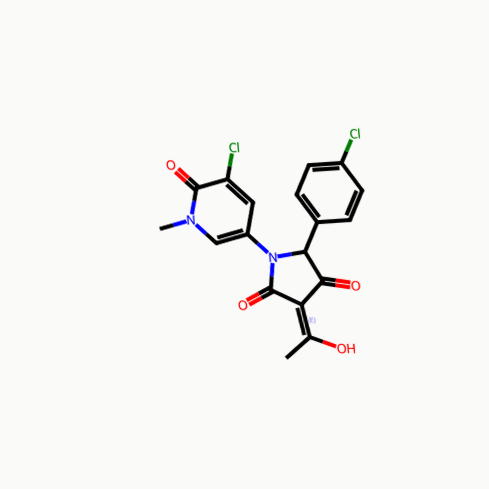 C/C(O)=C1/C(=O)C(c2ccc(Cl)cc2)N(c2cc(Cl)c(=O)n(C)c2)C1=O